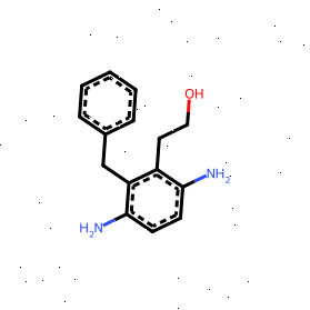 Nc1ccc(N)c(Cc2ccccc2)c1CCO